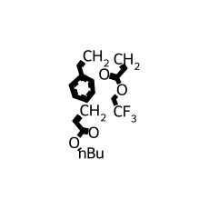 C=CC(=O)OCC(F)(F)F.C=CC(=O)OCCCC.C=Cc1ccccc1